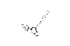 CCN(CC)Cc1ccc(-c2cc(NCCCN3CCC(N4CCCC4)CC3)c3sccc3n2)cc1